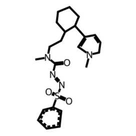 CN1C=C(C2CCCCC2CCN(C)C(=O)/N=N/S(=O)(=O)c2ccccc2)C=CC1